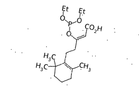 CCOP(OCC)OC(=CC(=O)O)CCC1=C(C)CCCC1(C)C